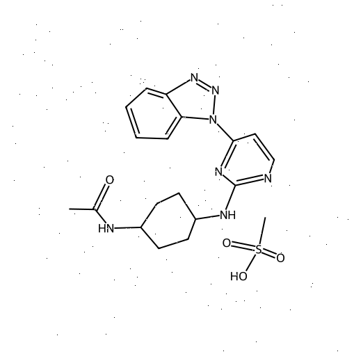 CC(=O)NC1CCC(Nc2nccc(-n3nnc4ccccc43)n2)CC1.CS(=O)(=O)O